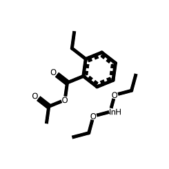 CC[O][InH][O]CC.CCc1ccccc1C(=O)OC(C)=O